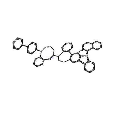 c1ccc(-c2ccc(C3CCC/C(C4CCc5cc6c7ccccc7n7c8c9ccccc9ccc8c(c5-c5ccccc54)c67)=N\c4ccccc43)cc2)cc1